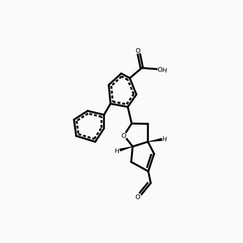 O=CC1=C[C@H]2CC(c3cc(C(=O)O)ccc3-c3ccccc3)O[C@H]2C1